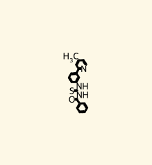 Cc1ccnc(-c2cccc(NC(=S)NC(=O)c3ccccc3)c2)c1